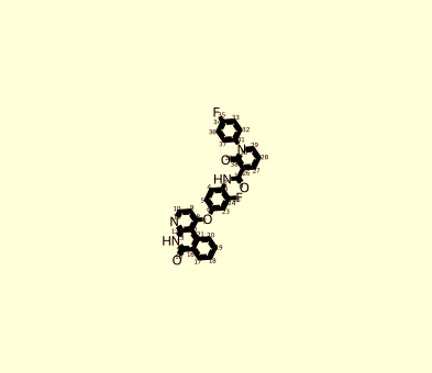 O=C(Nc1ccc(Oc2ccnc3[nH]c(=O)c4ccccc4c23)cc1F)c1cccn(-c2ccc(F)cc2)c1=O